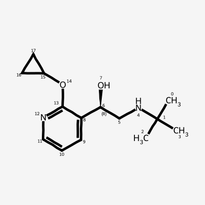 CC(C)(C)NC[C@H](O)c1cccnc1OC1CC1